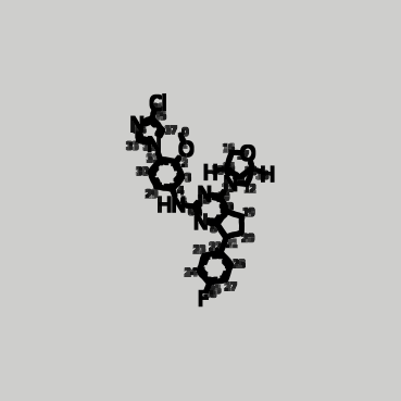 COc1cc(Nc2nc3c(c(N4C[C@@H]5C[C@H]4CO5)n2)CCC3c2ccc(F)cc2)ccc1-n1cnc(Cl)c1